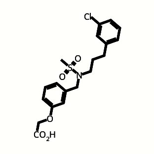 CS(=O)(=O)N(CCCc1cccc(Cl)c1)Cc1cccc(OCC(=O)O)c1